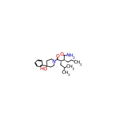 CCC[C@H](C(N)=O)[C@@H](CC(C)C)C(=O)N1CCC(O)(c2ccccc2)CC1